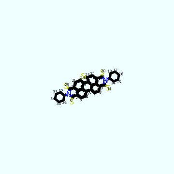 S=c1c2ccc3c4ccc5c(=S)n(C6CCCCC6)c(=S)c6cc7sc8cc(c(=S)n1C1CCCCC1)c2c3c8c7c4c56